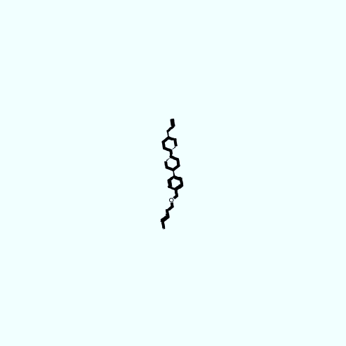 C=CC[C@H]1CC[C@H]([C@H]2CC[C@H](c3ccc(COCCC=CC)cc3)CC2)CC1